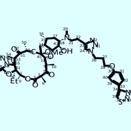 CC[C@H]1OC(=O)[C@H](C)C(=O)[C@H](C)[C@@H](O[C@@H]2C[C@H](C)C[C@H](N(C)CCc3cn(CCCOc4ccc(-c5csnn5)cc4)nn3)[C@H]2O)[C@](C)(OC)C[C@@H](C)C(=O)[C@H](C)[C@H]2N(N)C(=O)O[C@]12C